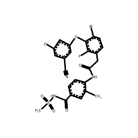 Cc1cc(C(=O)NS(C)(=O)=O)ccc1NC(=O)Cc1ccc(Br)c(Oc2cc(Cl)cc(C#N)c2)c1F